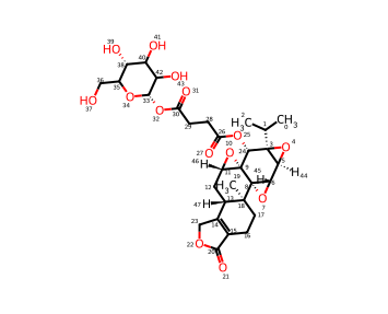 CC(C)[C@]12O[C@H]1[C@@H]1O[C@]13[C@]1(O[C@H]1C[C@H]1C4=C(CC[C@@]13C)C(=O)OC4)[C@@H]2OC(=O)CCC(=O)O[C@@H]1OC(CO)[C@H](O)C(O)C1O